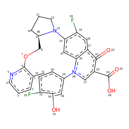 Cc1cccnc1OC[C@H]1CCCN1c1cc2c(cc1F)c(=O)c(C(=O)O)cn2-c1ccc(F)c(O)c1